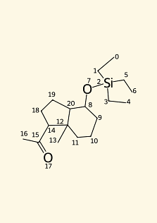 CC[Si](CC)(CC)OC1CCCC2(C)C(C(C)=O)CCC12